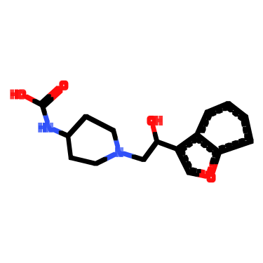 O=C(O)NC1CCN(CC(O)c2coc3ccccc23)CC1